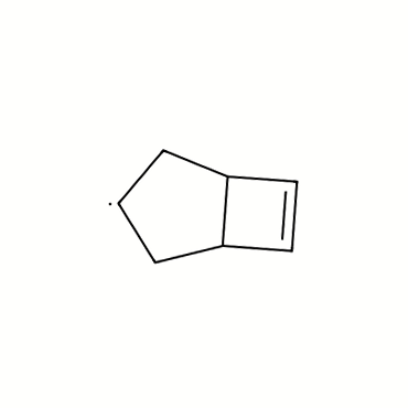 [CH]1CC2C=CC2C1